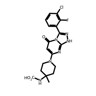 CC1(NC(=O)O)CCN(c2cc(=O)n3c(-c4cccc(Cl)c4F)n[nH]c3n2)CC1